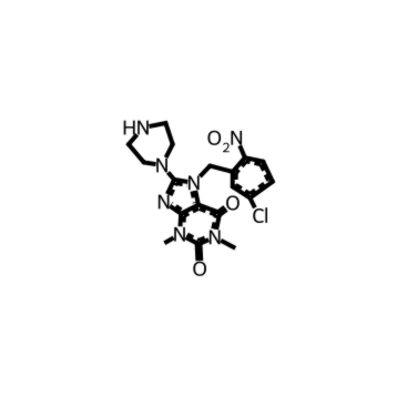 Cn1c(=O)c2c(nc(N3CCNCC3)n2Cc2cc(Cl)ccc2[N+](=O)[O-])n(C)c1=O